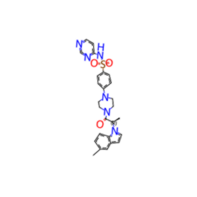 Cc1ccc2c(ccn2[C@H](C)C(=O)N2CCN(c3ccc(S(=O)(=O)Nc4ccncn4)cc3)CC2)c1